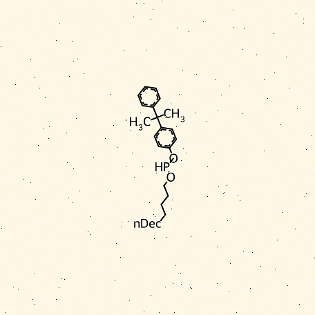 CCCCCCCCCCCCCCOPOc1ccc(C(C)(C)c2ccccc2)cc1